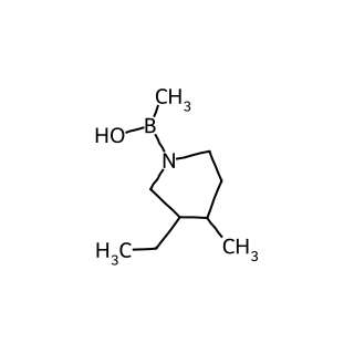 CCC1CN(B(C)O)CCC1C